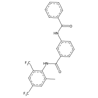 Cc1cc(C(F)(F)F)cc(C(F)(F)F)c1NC(=O)c1cccc(NC(=O)c2ccccc2)c1